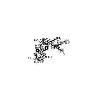 CC(C)C[C@H](NC(=O)[C@H](CCC(=O)O)NC(=O)[C@H](Cc1ccc(O)cc1)NC(=O)[C@H](Cc1ccccc1)NC(=O)[C@@H](NC(=O)[C@H](CCC(=O)O)NC(=O)[C@H](CO)NC(=O)[C@H](CCC(=O)O)NC(=O)[C@H](CCCCN)NC(=O)[C@H](CO)NC(=O)[C@H](CCCNC(=N)N)NC(=O)[C@@H](N)CCCNC(=N)N)C(C)C)C(=O)N[C@@H](C)C(=O)N[C@@H](Cc1c[nH]cn1)C(=O)O